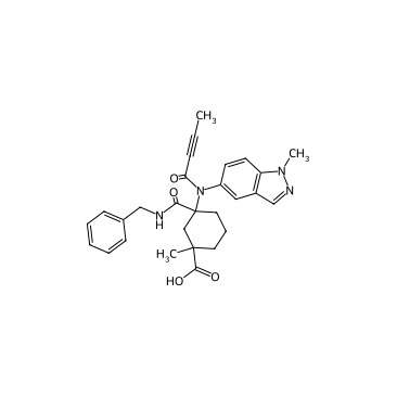 CC#CC(=O)N(c1ccc2c(cnn2C)c1)C1(C(=O)NCc2ccccc2)CCCC(C)(C(=O)O)C1